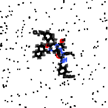 COc1ccc(CNC(=O)N(C)N2CC(=O)N3[C@@H](Cc4ccc([N+](=O)[O-])cc4)C(=O)N(Cc4cccc5ccccc45)C[C@@H]32)cc1